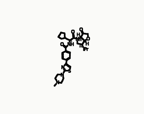 CC(C)[C@H]1CN(C(=O)[C@@H](NC(=O)c2ccc(-c3csc(N4CCN(C)CC4)n3)cc2)C2CCCC2)[C@@H]2C(=O)CO[C@H]12